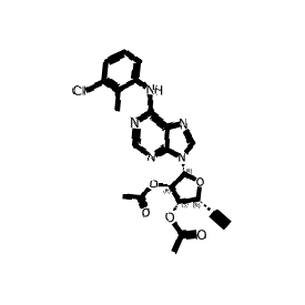 C#C[C@H]1O[C@@H](n2cnc3c(Nc4cccc(Cl)c4C)ncnc32)[C@H](OC(C)=O)[C@H]1OC(C)=O